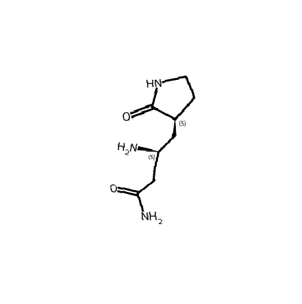 NC(=O)C[C@@H](N)C[C@@H]1CCNC1=O